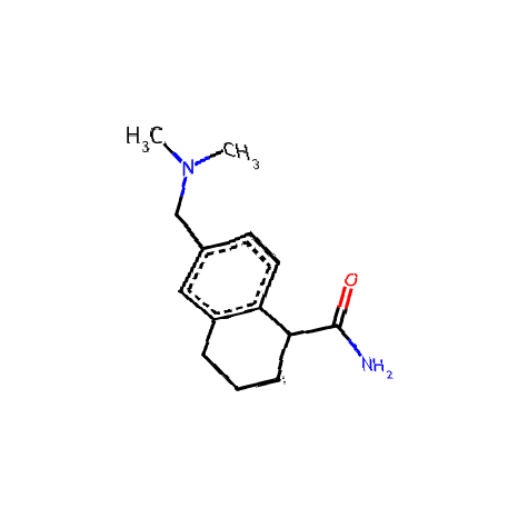 CN(C)Cc1ccc2c(c1)CC[C]C2C(N)=O